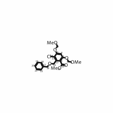 COCOc1cc(OCOC)c(C(=O)OC)c(COCc2ccccc2)c1Cl